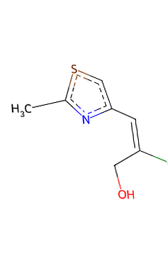 Cc1nc(/C=C(/Cl)CO)cs1